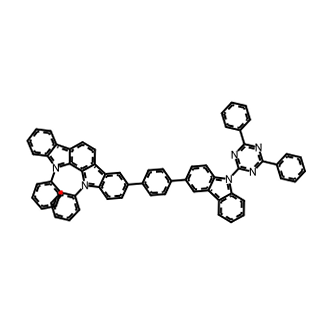 c1ccc(-c2nc(-c3ccccc3)nc(-n3c4ccccc4c4cc(-c5ccc(-c6ccc7c(c6)c6ccc8c9ccccc9n(-c9ccccc9)c8c6n7-c6ccccc6)cc5)ccc43)n2)cc1